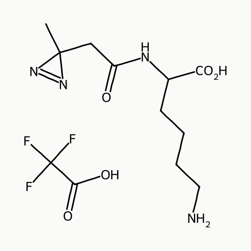 CC1(CC(=O)NC(CCCCN)C(=O)O)N=N1.O=C(O)C(F)(F)F